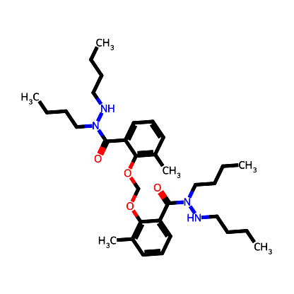 CCCCNN(CCCC)C(=O)c1cccc(C)c1OCOc1c(C)cccc1C(=O)N(CCCC)NCCCC